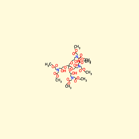 CCOC(=O)CN(CC(=O)OCC)CC(O)COCC(COCC(O)CN(CC(=O)OCC)CC(=O)OCC)(COCC(O)CN(CC(=O)OCC)CC(=O)OCC)COCC(O)CN(CC(=O)OCC)CC(=O)OCC